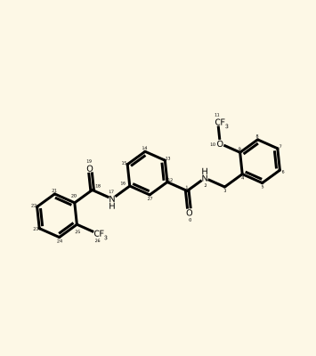 O=C(NCc1ccccc1OC(F)(F)F)c1cccc(NC(=O)c2ccccc2C(F)(F)F)c1